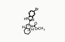 COC(=O)N1[C@H](c2nc3cc(Br)ccc3[nH]2)C[C@@H]2CCCC[C@@H]21